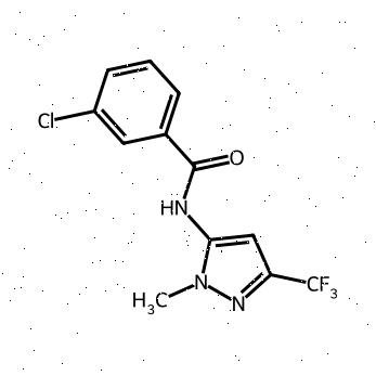 Cn1nc(C(F)(F)F)cc1NC(=O)c1cccc(Cl)c1